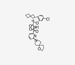 O=C(NS(=O)(=O)c1cccc(N2CCC3(CCCO3)CC2)n1)C1(Oc2cc(Cl)ccc2C2CC3(CCC3)C2)CC1